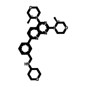 C[C@H]1COCCN1c1nc(N2CCOC[C@@H]2C)c2ccc(-c3cccc(CNC4CCOCC4)c3)nc2n1